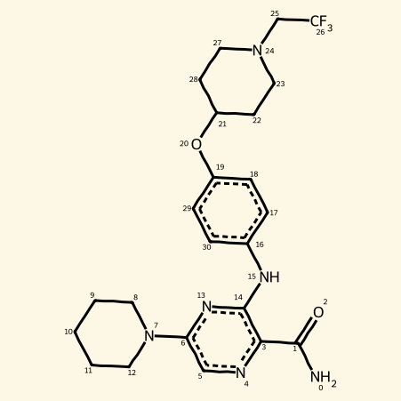 NC(=O)c1ncc(N2CCCCC2)nc1Nc1ccc(OC2CCN(CC(F)(F)F)CC2)cc1